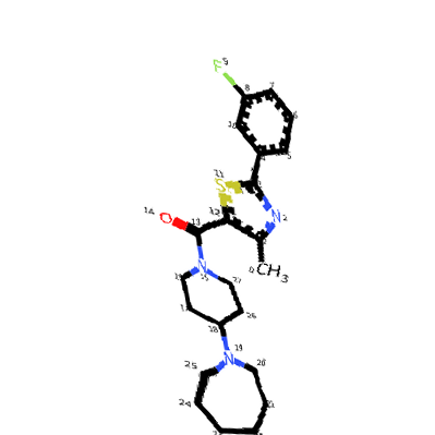 Cc1nc(-c2cccc(F)c2)sc1C(=O)N1CCC(N2CCCCCC2)CC1